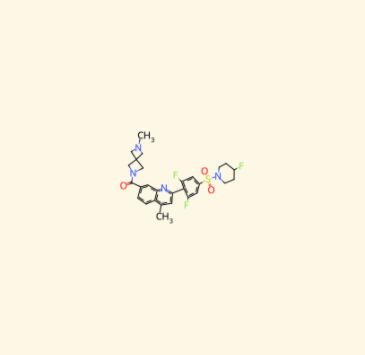 Cc1cc(-c2c(F)cc(S(=O)(=O)N3CCC(F)CC3)cc2F)nc2cc(C(=O)N3CC4(CN(C)C4)C3)ccc12